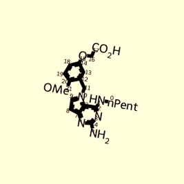 CCCCCNc1nc(N)nc2ccn(Cc3cc(OCC(=O)O)ccc3OC)c12